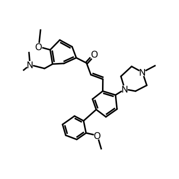 COc1ccc(C(=O)C=Cc2cc(-c3ccccc3OC)ccc2N2CCN(C)CC2)cc1CN(C)C